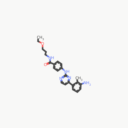 CCOCCCNC(=O)c1ccc(Nc2nccc(-c3cccc(N)c3C)n2)cc1